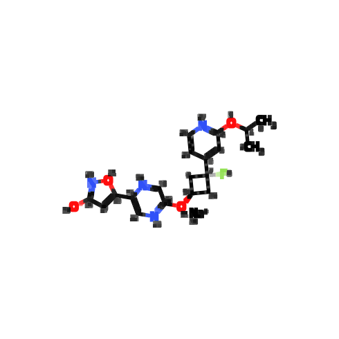 CC(C)Oc1cc([C@]2(F)C[C@H](Oc3cnc(-c4cc([O-])no4)cn3)C2)ccn1.[Na+]